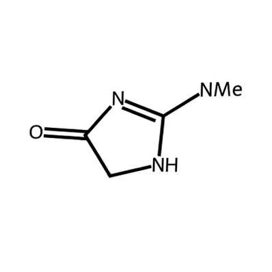 CNC1=NC(=O)CN1